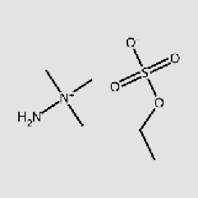 CCOS(=O)(=O)[O-].C[N+](C)(C)N